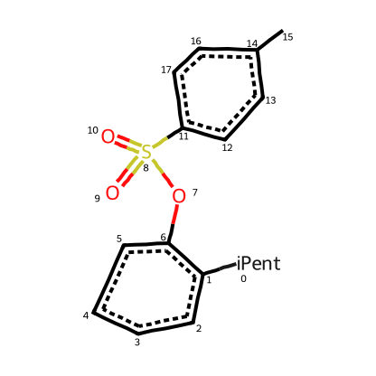 CCCC(C)c1ccccc1OS(=O)(=O)c1ccc(C)cc1